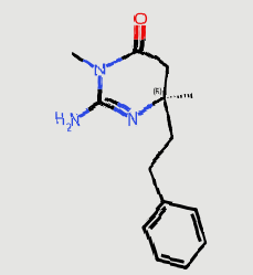 CN1C(=O)C[C@@](C)(CCc2ccccc2)N=C1N